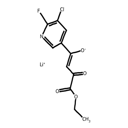 CCOC(=O)C(=O)C=C([O-])c1cnc(F)c(Cl)c1.[Li+]